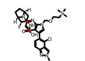 Cn1cc2c(Cl)c(-c3cn(COCC[Si](C)(C)C)c4nc(N5[C@@H]6CC[C@H]5[C@H](F)[C@H](NC(=O)O)C6)cnc34)ccc2n1